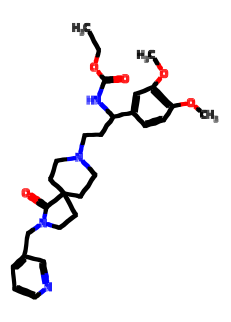 CCOC(=O)NC(CCN1CCC2(CC1)CCN(Cc1cccnc1)C2=O)c1ccc(OC)c(OC)c1